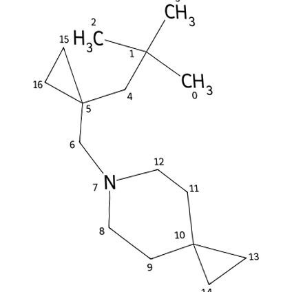 CC(C)(C)CC1(CN2CCC3(CC2)CC3)CC1